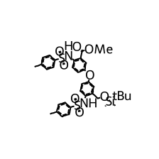 COC(=O)c1cc(Oc2ccc(NS(=O)(=O)c3ccc(C)cc3)c(CO[Si](C)(C)C(C)(C)C)c2)ccc1NS(=O)(=O)c1ccc(C)cc1